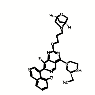 N#CC[C@H]1CN(c2nc(OCCCN3C[C@@H]4C[C@H]3CO4)nc3c(F)c(-c4cncc5cccc(Cl)c45)ncc23)CCN1